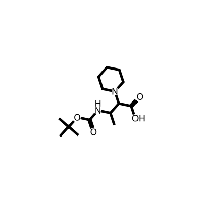 CC(NC(=O)OC(C)(C)C)C(C(=O)O)N1CCCCC1